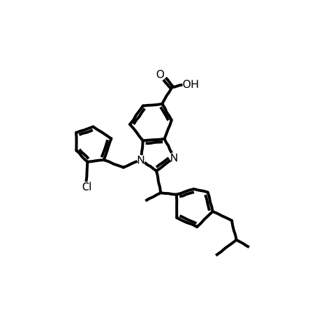 CC(C)Cc1ccc(C(C)c2nc3cc(C(=O)O)ccc3n2Cc2ccccc2Cl)cc1